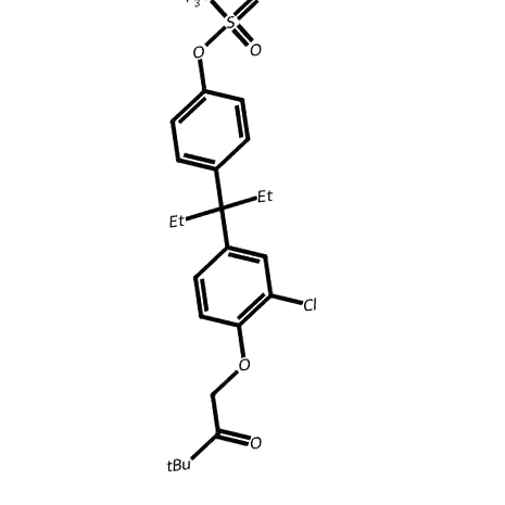 CCC(CC)(c1ccc(OS(=O)(=O)C(F)(F)F)cc1)c1ccc(OCC(=O)C(C)(C)C)c(Cl)c1